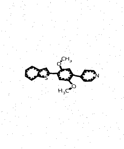 COc1cc(-c2cc3ccccc3s2)c(OC)cc1-c1ccncc1